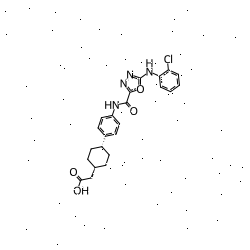 O=C(O)C[C@H]1CC[C@H](c2ccc(NC(=O)c3nnc(Nc4ccccc4Cl)o3)cc2)CC1